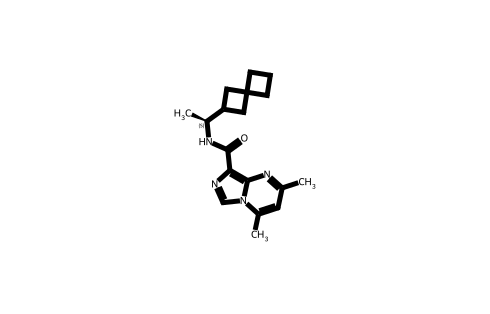 Cc1cc(C)n2cnc(C(=O)N[C@@H](C)C3CC4(CCC4)C3)c2n1